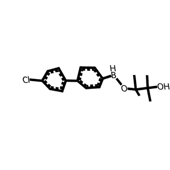 CC(C)(O)C(C)(C)OBc1ccc(-c2ccc(Cl)cc2)cc1